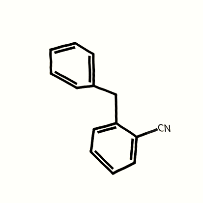 N#Cc1ccccc1Cc1ccccc1